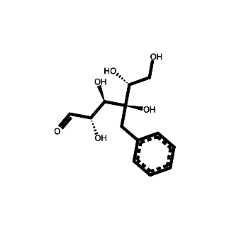 O=C[C@@H](O)[C@@H](O)[C@@](O)(Cc1ccccc1)[C@H](O)CO